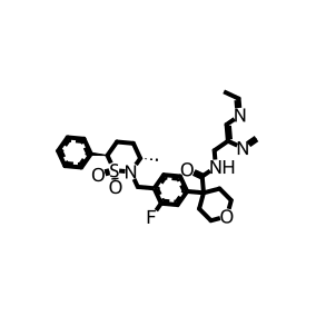 C=N/C(=C\N=C/C)CNC(=O)C1(c2ccc(CN3[C@@H](C)CC[C@H](c4ccccc4)S3(=O)=O)c(F)c2)CCOCC1